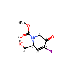 CC(C)(C)OC(=O)N1CC(=O)C(I)=C[C@H]1CO